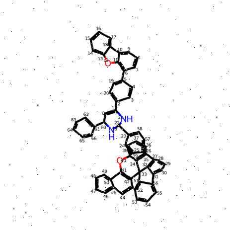 C1=C(c2ccc(-c3cccc4c3oc3ccccc34)cc2)NC(c2ccc(-c3cccc4c3C3(c5ccccc5Oc5c3ccc3ccccc53)c3ccccc3-4)cc2)NC1c1ccccc1